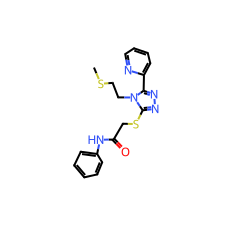 CSCCn1c(SCC(=O)Nc2ccccc2)nnc1-c1ccccn1